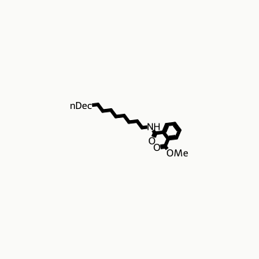 CCCCCCCCCCCCCCCCCCNC(=O)c1ccccc1C(=O)OC